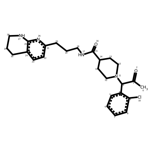 CC(=O)C(c1ccccc1Cl)N1CCC(C(=O)NCCCc2ccc3c(n2)NCCC3)CC1